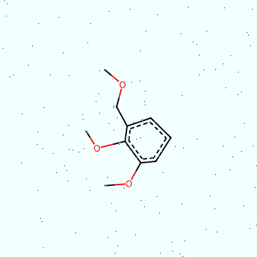 CO[C]c1cccc(OC)c1OC